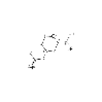 [2H][C@@H](C)CN1CCO[C@H](C(F)F)C1